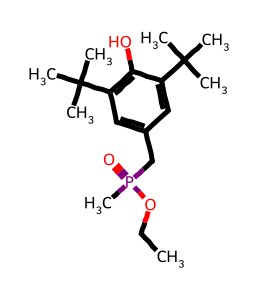 CCOP(C)(=O)Cc1cc(C(C)(C)C)c(O)c(C(C)(C)C)c1